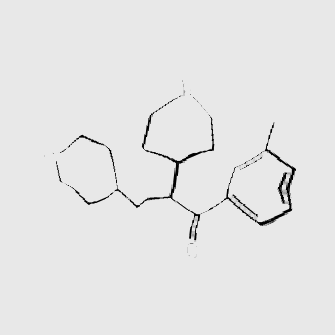 Cc1cccc(C(=O)C([CH]C2CCNCC2)C2CCNCC2)c1